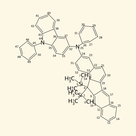 C[Si](C)(C)C1([Si](C)(C)C)c2cc3ccccc3cc2-c2ccc3cc(N(c4ccccc4)c4ccc5c(c4)c4ccccc4n5-c4ccccc4)ccc3c21